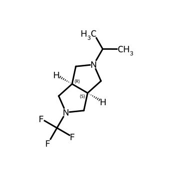 CC(C)N1C[C@@H]2CN(C(F)(F)F)C[C@@H]2C1